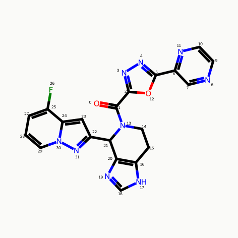 O=C(c1nnc(-c2cnccn2)o1)N1CCc2[nH]cnc2C1c1cc2c(F)cccn2n1